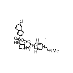 CNCCN1C[C@H]2C[C@@H](C1)CN(C(=O)[C@H](C)N1CC[C@H](NS(=O)(=O)c3ccc4cc(Cl)ccc4c3)C1=O)C2